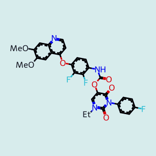 CCn1cc(OC(=O)Nc2ccc(Oc3ccnc4cc(OC)c(OC)cc34)c(F)c2F)c(=O)n(-c2ccc(F)cc2)c1=O